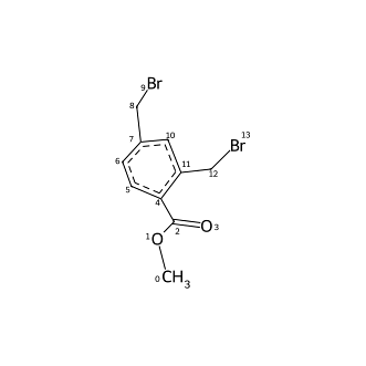 COC(=O)c1ccc(CBr)cc1CBr